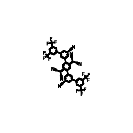 N#CC(C#N)=c1cc(-c2cc(C#N)cc(-c3cc(C(F)(F)F)cc(C(F)(F)F)c3)c2)c(=C(C#N)C#N)cc1-c1cc(C#N)cc(-c2cc(C(F)(F)F)cc(C(F)(F)F)c2)c1